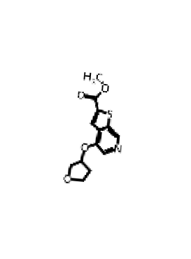 COC(=O)c1cc2c(OC3CCOC3)cncc2s1